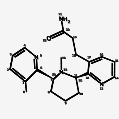 Cc1cccnc1[C@@H]1CCC[C@H](c2ncccc2CCC(N)=O)N1C